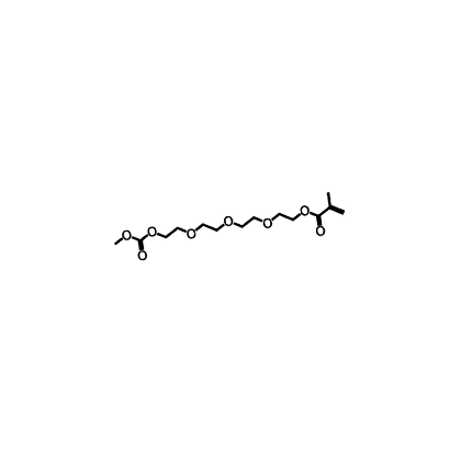 C=C(C)C(=O)OCCOCCOCCOCCOC(=O)OC